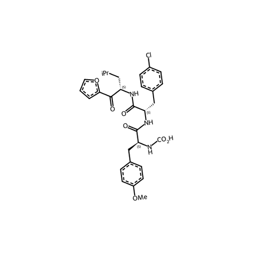 COc1ccc(C[C@H](NC(=O)O)C(=O)N[C@@H](Cc2ccc(Cl)cc2)C(=O)N[C@@H](CC(C)C)C(=O)c2ccco2)cc1